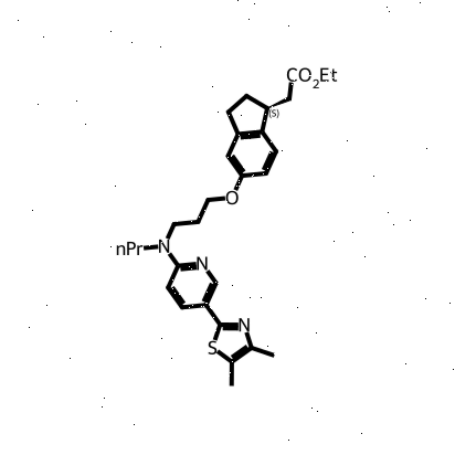 CCCN(CCCOc1ccc2c(c1)CC[C@H]2CC(=O)OCC)c1ccc(-c2nc(C)c(C)s2)cn1